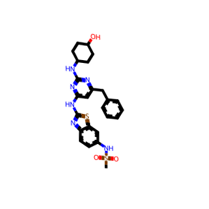 CS(=O)(=O)Nc1ccc2nc(Nc3cc(Cc4ccccc4)nc(NC4CCC(O)CC4)n3)sc2c1